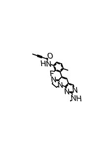 CC#CC(=O)Nc1ccc(C)c(C2=Cc3cnc(NC)nc3N3CCN=C23)c1F